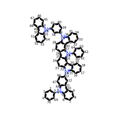 c1ccc(-n2c3ccccc3c3cc(-n4c5ccccc5c5c4ccc4c6ccc7c(c8ccccc8n7-c7cccc(-n8c9ccccc9c9ccccc98)c7)c6n(-c6ccccc6)c45)ccc32)cc1